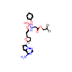 CCC(CC)COC(=O)CN[PH](O)(OC=CC1CC[C@H](c2ccc3c(N)ncnn23)O1)Oc1ccccc1